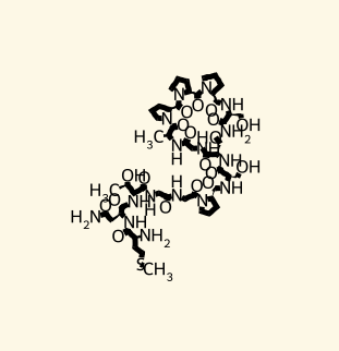 CSCC[C@H](N)C(=O)N[C@@H](CC(N)=O)C(=O)N[C@H](C(=O)NCC(=O)NCC(=O)N1CCC[C@H]1C(=O)N[C@@H](CO)C(=O)N[C@@H](CO)C(=O)NCC(=O)N[C@@H](C)C(=O)N1CCC[C@H]1C(=O)N1CCC[C@H]1C(=O)N1CCC[C@H]1C(=O)N[C@@H](CO)C(N)=O)[C@@H](C)O